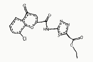 CCOC(=O)c1nnc(NC(=O)c2cc(=O)c3cccc(Cl)c3o2)s1